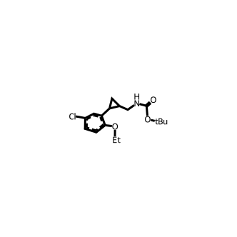 CCOc1ccc(Cl)cc1C1CC1CNC(=O)OC(C)(C)C